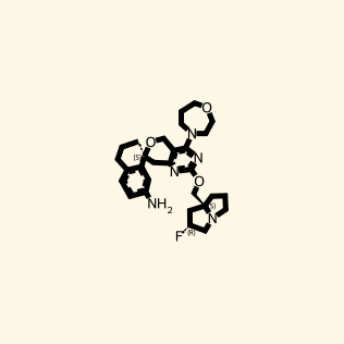 Nc1ccc2c(c1)[C@]1(CCC2)Cc2nc(OC[C@@]34CCCN3C[C@H](F)C4)nc(N3CCCOCC3)c2CO1